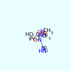 Cc1nc(C(=O)N[C@@H](CCN(CCCCc2ccc3c(n2)NCCC3)CCOC(C)C)C(=O)O)c(C(F)(F)F)o1